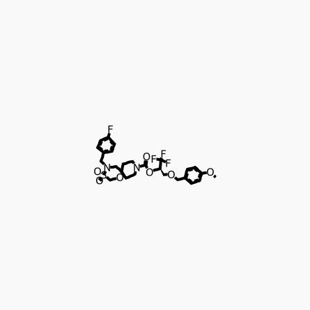 COc1ccc(COC[C@@H](OC(=O)N2CCC3(CC2)CN(Cc2ccc(F)cc2)S(=O)(=O)CO3)C(F)(F)F)cc1